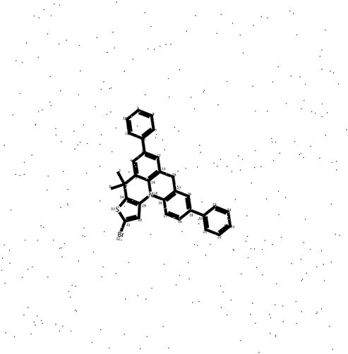 CC1(C)c2cc(-c3ccccc3)cc3c2N(c2ccc(-c4ccccc4)cc2C3)c2cc(Br)sc21